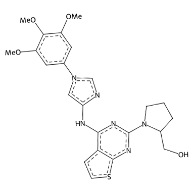 COc1cc(-n2cnc(Nc3nc(N4CCCC4CO)nc4sccc34)c2)cc(OC)c1OC